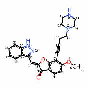 COc1ccc2c(c1C#CCCN1CCNCC1)O/C(=C\c1n[nH]c3ccccc13)C2=O